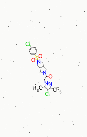 Cc1c(Cl)c(C(F)(F)F)nn1CC(=O)N1CC2CN(S(=O)(=O)c3ccc(Cl)cc3)CC2C1